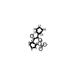 [O]C(=O)Oc1ccccc1C(=O)C(=O)c1ccccc1